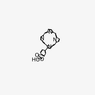 O=S(=O)(O)c1ccc(C2=CC3=CC4=NC(=CC5=NC(=CC6=NC(=CC2=N3)C=C6)C=C5)C=C4)cc1